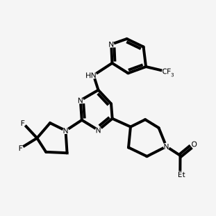 CCC(=O)N1CCC(c2cc(Nc3cc(C(F)(F)F)ccn3)nc(N3CCC(F)(F)C3)n2)CC1